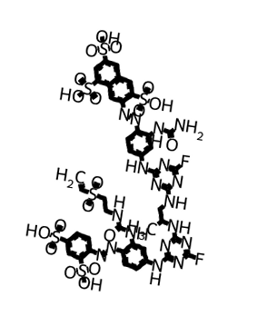 C=CS(=O)(=O)CCNC(=O)Nc1cc(Nc2nc(F)nc(NC(C)CNc3nc(F)nc(Nc4ccc(/N=N/c5cc6c(S(=O)(=O)O)cc(S(=O)(=O)O)cc6cc5S(=O)(=O)O)c(NC(N)=O)c4)n3)n2)ccc1/N=N/c1ccc(S(=O)(=O)O)cc1S(=O)(=O)O